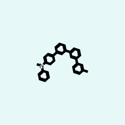 Cc1cccc(-c2cccc(-c3cccc(C4=CC=C(N(C)c5ccccc5)CC4)c3)c2)c1